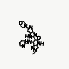 CCn1cc2[nH]c(=O)c(-c3nc4cnc(N5CCOCC5)cc4[nH]3)c(NCc3ccccn3)c2n1